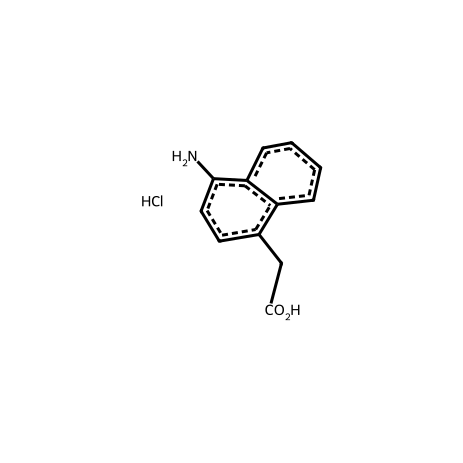 Cl.Nc1ccc(CC(=O)O)c2ccccc12